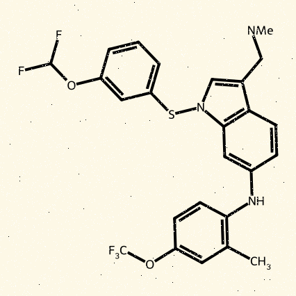 CNCc1cn(Sc2cccc(OC(F)F)c2)c2cc(Nc3ccc(OC(F)(F)F)cc3C)ccc12